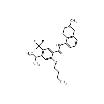 CCCCOc1cc(C(C)C)c(C(F)(F)F)cc1C(=O)Nc1cccc2c1CCN(C)C2